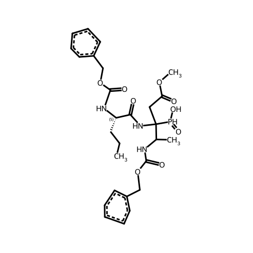 CCC[C@H](NC(=O)OCc1ccccc1)C(=O)NC(CC(=O)OC)(C(C)NC(=O)OCc1ccccc1)[PH](=O)O